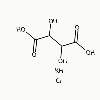 O=C(O)C(O)C(O)C(=O)O.[Cr].[KH]